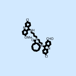 COc1ccc2nc3cc(Cl)ccc3c(NCCCCN(CCCNc3c4ccc(Cl)cc4nc4ccc(C=O)cc34)C(=O)c3ccccccccc3)c2c1